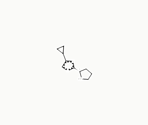 c1sc([C@H]2CCCN2)nc1C1CC1